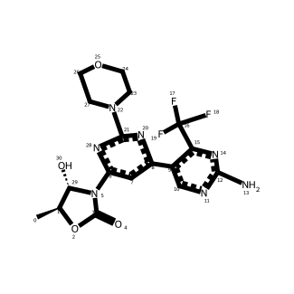 C[C@@H]1OC(=O)N(c2cc(-c3cnc(N)nc3C(F)(F)F)nc(N3CCOCC3)n2)[C@H]1O